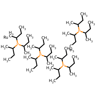 CCC(C)P(C(C)CC)C(C)CC.CCC(C)P(C(C)CC)C(C)CC.CCC(C)P(C(C)CC)C(C)CC.CCC(C)P(C(C)CC)C(C)CC.[Ru]